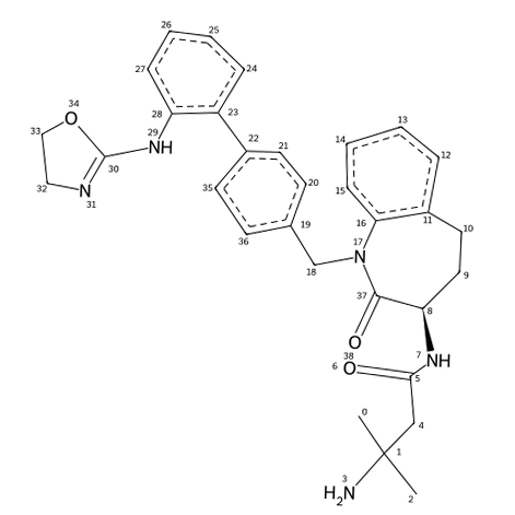 CC(C)(N)CC(=O)N[C@@H]1CCc2ccccc2N(Cc2ccc(-c3ccccc3NC3=NCCO3)cc2)C1=O